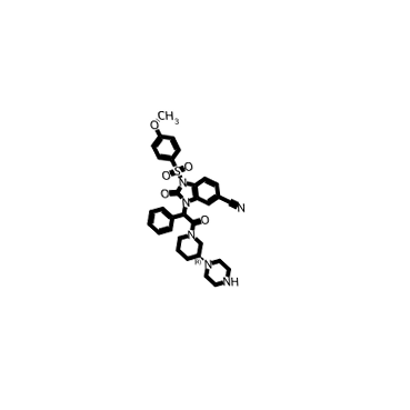 COc1ccc(S(=O)(=O)n2c(=O)n(C(C(=O)N3CCC[C@@H](N4CCNCC4)C3)c3ccccc3)c3cc(C#N)ccc32)cc1